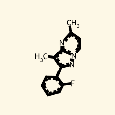 Cc1ccn2nc(-c3ccccc3F)c(C)c2n1